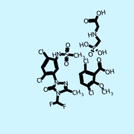 COc1c(Cl)ccc(Cl)c1C(=O)O.Cc1nn(-c2cc(NS(C)(=O)=O)c(Cl)cc2Cl)c(=O)n1C(F)F.O=C(O)CNCP(=O)(O)O